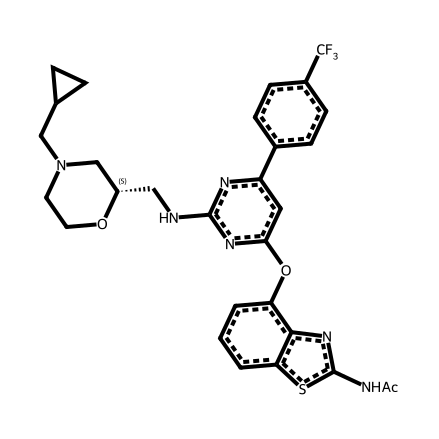 CC(=O)Nc1nc2c(Oc3cc(-c4ccc(C(F)(F)F)cc4)nc(NC[C@H]4CN(CC5CC5)CCO4)n3)cccc2s1